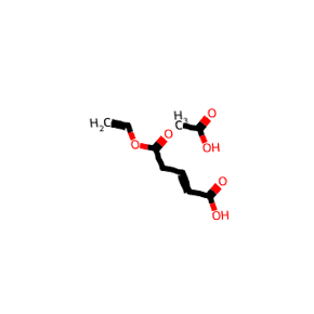 C=COC(=O)CC=CC(=O)O.CC(=O)O